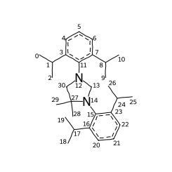 CC(C)c1cccc(C(C)C)c1N1CN(c2c(C(C)C)cccc2C(C)C)C(C)(C)C1